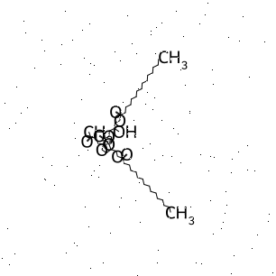 CCCCCCCCCCCCCCCC(=O)OCC(O)COC(=O)C1(CCC(C)=O)OCC(COC(=O)CCCCCCCCCCCCCCC)O1